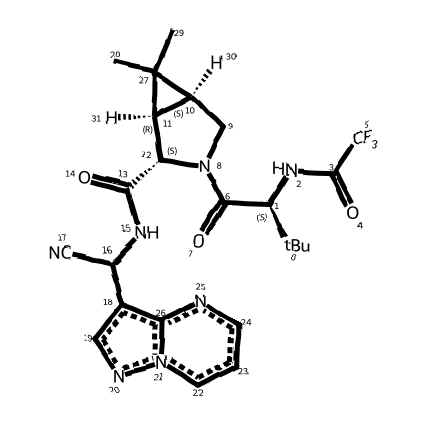 CC(C)(C)[C@H](NC(=O)C(F)(F)F)C(=O)N1C[C@H]2[C@@H]([C@H]1C(=O)NC(C#N)c1cnn3cccnc13)C2(C)C